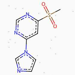 CS(=O)(=O)c1cc(-n2ccnc2)ncn1